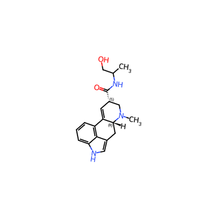 CC(CO)NC(=O)[C@H]1C=C2c3cccc4[nH]cc(c34)C[C@H]2N(C)C1